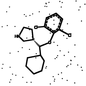 Clc1cccc(Cl)c1OC(C1CCCCC1)[C@H]1CCNC1